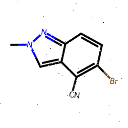 Cn1cc2c(C#N)c(Br)ccc2n1